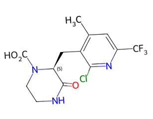 Cc1cc(C(F)(F)F)nc(Cl)c1C[C@H]1C(=O)NCCN1C(=O)O